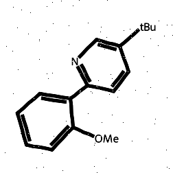 COc1ccccc1-c1ccc(C(C)(C)C)cn1